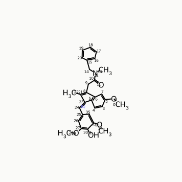 COc1ccc2c(c1)C(CC(=O)N(C)Cc1ccccc1)=C(C)/C2=C/c1cc(OC)c(O)c(OC)c1